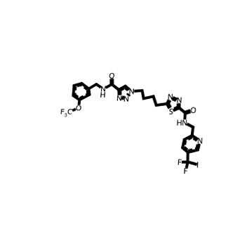 O=C(NCc1cccc(OC(F)(F)F)c1)c1cn(CCCCc2nnc(C(=O)NCc3ccc(C(F)(F)I)cn3)s2)nn1